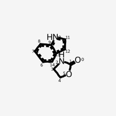 O=C1NCCO1.c1ccc2[nH]ccc2c1